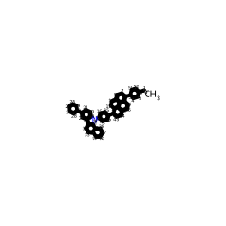 CCc1ccc(-c2ccc3ccc4c(-c5ccc(-n6c7ccc(-c8ccccc8)cc7c7ccc8ccccc8c76)cc5)ccc5ccc2c3c54)cc1